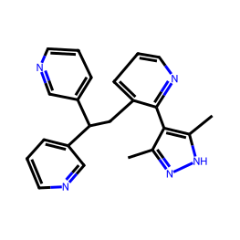 Cc1n[nH]c(C)c1-c1ncccc1CC(c1cccnc1)c1cccnc1